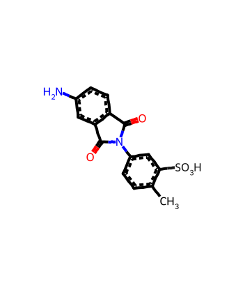 Cc1ccc(N2C(=O)c3ccc(N)cc3C2=O)cc1S(=O)(=O)O